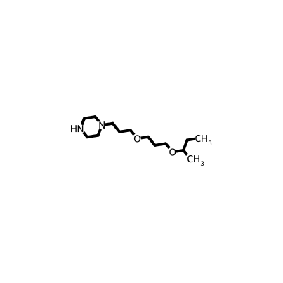 CCC(C)OCCCOCCCN1CCNCC1